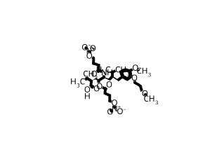 COCCCOc1cc(C[C@@H](C[C@H](NC(=O)CCCO[N+](=O)[O-])[C@H](C[C@H](C(=O)O)C(C)C)OC(=O)CCCO[N+](=O)[O-])C(C)C)ccc1OC